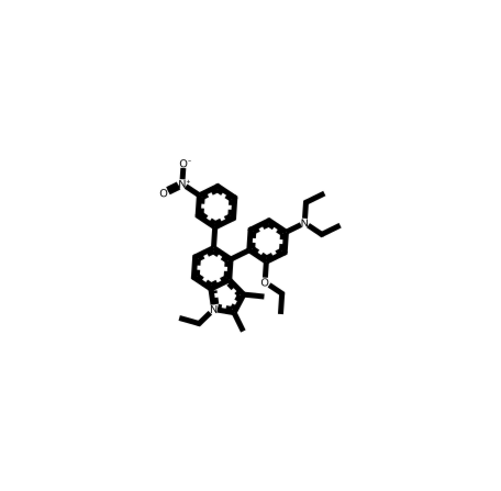 CCOc1cc(N(CC)CC)ccc1-c1c(-c2cccc([N+](=O)[O-])c2)ccc2c1c(C)c(C)n2CC